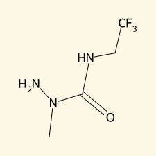 CN(N)C(=O)NCC(F)(F)F